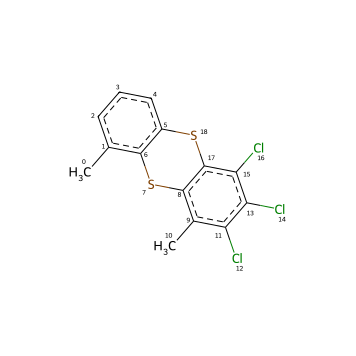 Cc1cccc2c1Sc1c(C)c(Cl)c(Cl)c(Cl)c1S2